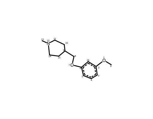 COc1cccc(OCC2CCN(C)CC2)c1